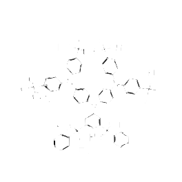 CC(C)(C)c1ccc(N(c2ccc(C(C)(C)C)cc2)c2ccc3c(c2)c2cc(N(c4ccc(C(C)(C)C)cc4)c4ccc(C(C)(C)C)cc4)ccc2n3-c2cc(C(C)(C)c3ccccc3)cc(C(C)(C)c3ccccc3)c2)cc1